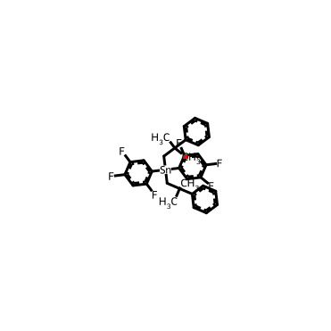 CC(C)([CH2][Sn]([CH2]C(C)(C)c1ccccc1)([c]1cc(F)c(F)cc1F)[c]1cc(F)c(F)cc1F)c1ccccc1